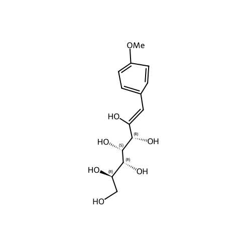 COc1ccc(C=C(O)[C@H](O)[C@@H](O)[C@H](O)[C@H](O)CO)cc1